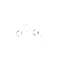 COCOCc1ccc(C(CC2CC2)NC(C)c2ccccc2)cc1F